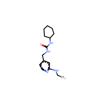 O=C(NCc1ccnc(NCC(F)(F)F)c1)NC1CCCCC1